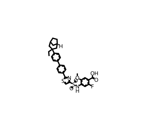 CCC1(c2ccc(-c3ccc(-c4nc(S(=O)(=O)Nc5cc(F)c(C(=O)O)cc5OC)cs4)cc3)cc2)CC2CC[C@@H](C2)C1